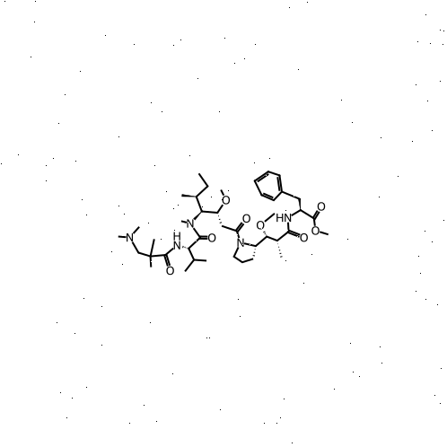 CC[C@H](C)[C@@H]([C@@H](CC(=O)N1CCC[C@H]1[C@H](OC)[C@@H](C)C(=O)N[C@@H](Cc1ccccc1)C(=O)OC)OC)N(C)C(=O)[C@@H](NC(=O)C(C)(C)CN(C)C)C(C)C